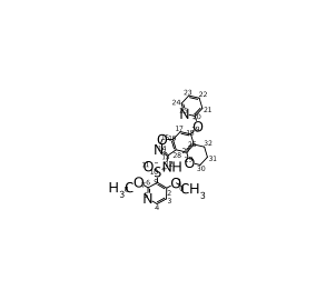 COc1ccnc(OC)c1[S+]([O-])Nc1noc2cc(Oc3ccccn3)c3c(c12)OCCC3